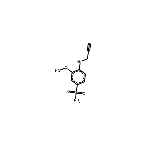 C#CCNc1ccc(S(N)(=O)=O)cc1OO